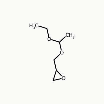 CCOC(C)OCC1CO1